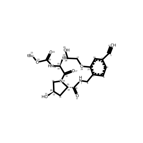 C#Cc1ccc(CNC(=O)[C@@H]2C[C@@H](O)CN2C(=O)[C@@H](NC(=O)OC(C)(C)C)C(C)(C)C)c(OCCO)c1